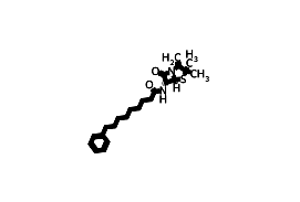 C=C1N2C(=O)[C@@H](NC(=O)CCCCCCCCc3ccccc3)[C@H]2SC1(C)C